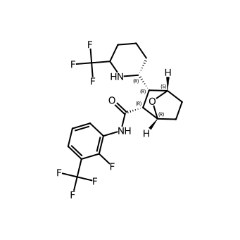 O=C(Nc1cccc(C(F)(F)F)c1F)[C@@H]1[C@H]([C@H]2CCCC(C(F)(F)F)N2)[C@@H]2CC[C@H]1O2